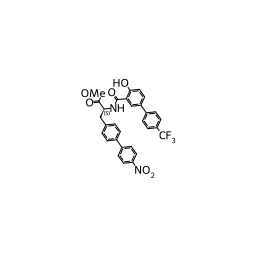 COC(=O)[C@H](Cc1ccc(-c2ccc([N+](=O)[O-])cc2)cc1)NC(=O)c1cc(-c2ccc(C(F)(F)F)cc2)ccc1O